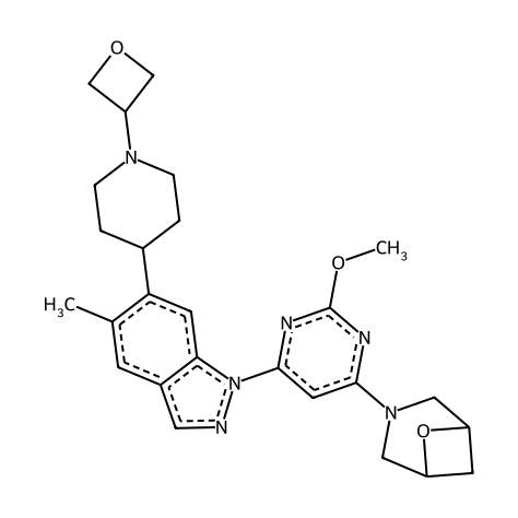 COc1nc(N2CC3CC(C2)O3)cc(-n2ncc3cc(C)c(C4CCN(C5COC5)CC4)cc32)n1